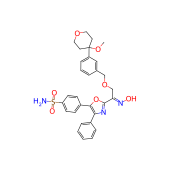 COC1(c2cccc(COC/C(=N\O)c3nc(-c4ccccc4)c(-c4ccc(S(N)(=O)=O)cc4)o3)c2)CCOCC1